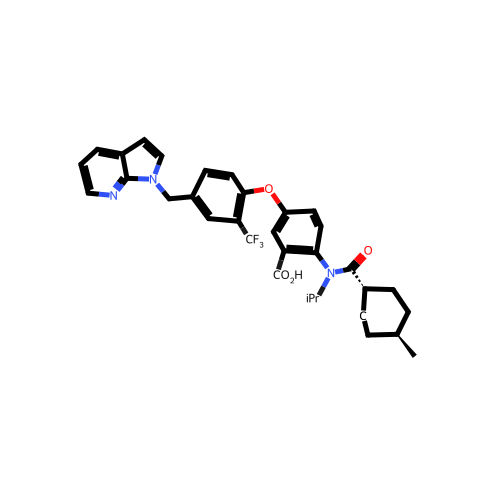 CC(C)N(c1ccc(Oc2ccc(Cn3ccc4cccnc43)cc2C(F)(F)F)cc1C(=O)O)C(=O)[C@H]1CC[C@H](C)CC1